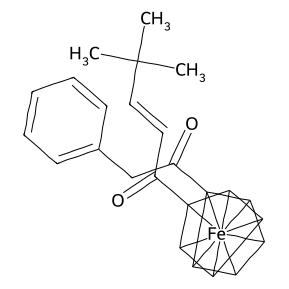 CC(C)(C)C=CC(=O)[C]12[CH]3[CH]4[CH]5[CH]1[Fe]45321678[CH]2[CH]1[CH]6[C]7(C(=O)Cc1ccccc1)[CH]28